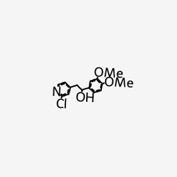 COc1ccc(C(O)Cc2ccnc(Cl)c2)cc1OC